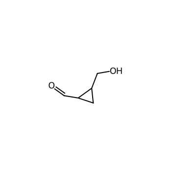 O=CC1CC1CO